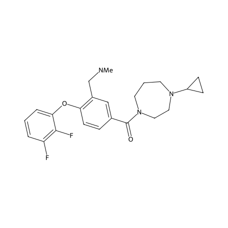 CNCc1cc(C(=O)N2CCCN(C3CC3)CC2)ccc1Oc1cccc(F)c1F